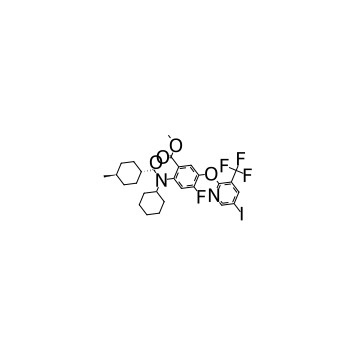 COC(=O)c1cc(Oc2ncc(I)cc2C(F)(F)F)c(F)cc1N(C(=O)[C@H]1CC[C@H](C)CC1)C1CCCCC1